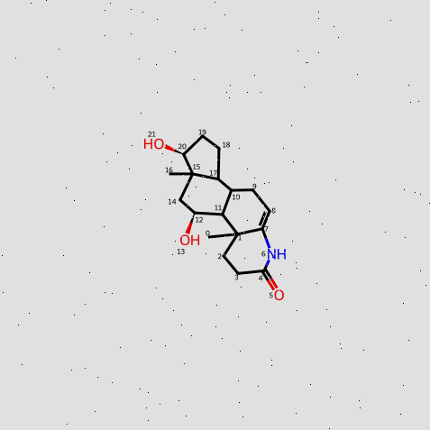 CC12CCC(=O)NC1=CCC1C2[C@@H](O)CC2(C)C1CC[C@@H]2O